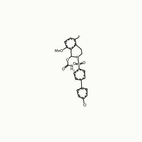 COc1ccc(F)c2c1C(OC(N)=O)N(S(=O)(=O)c1ccc(-c3ccc(Cl)cc3)cc1)CC2